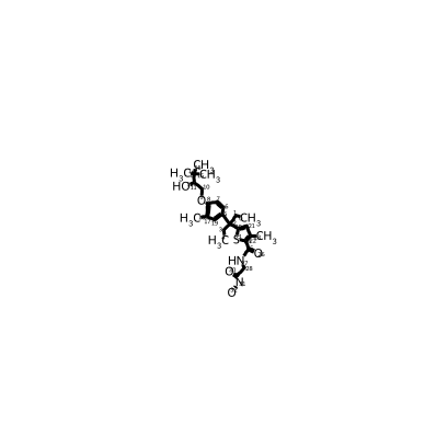 CCC(CC)(c1ccc(OCC(O)C(C)(C)C)c(C)c1)c1cc(C)c(C(=O)NCC(=O)N=O)s1